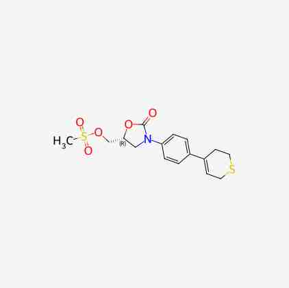 CS(=O)(=O)OC[C@H]1CN(c2ccc(C3=CCSCC3)cc2)C(=O)O1